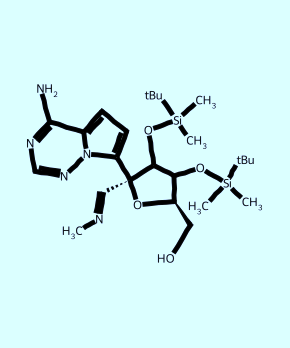 CN=C[C@@]1(c2ccc3c(N)ncnn23)O[C@H](CO)C(O[Si](C)(C)C(C)(C)C)C1O[Si](C)(C)C(C)(C)C